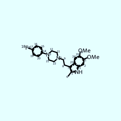 COc1cc2[nH]c(C)c(CCN3CCN(c4ccc([18F])cc4)CC3)c2cc1OC